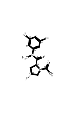 CN(C(=O)[C@@H]1C[C@@H](F)CN1C(=O)O)c1cc(F)cc(Br)c1